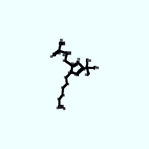 CCCCCCn1nc(C(F)(F)F)nc1CNC(=O)O